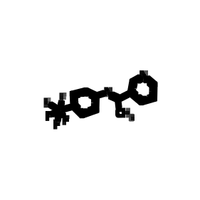 C/C(=N\c1ccc(S(F)(F)(F)(F)F)cc1)c1cccnc1